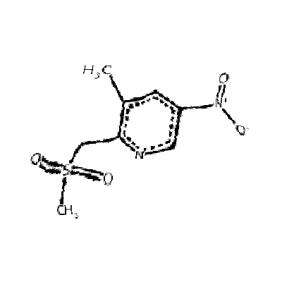 Cc1cc([N+](=O)[O-])cnc1CS(C)(=O)=O